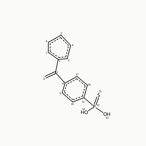 C=C(c1ccccc1)c1ccc(P(O)(O)=S)cc1